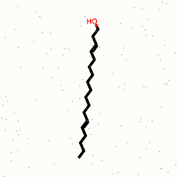 CCCCC=CCCCCCCCC/C=C/CCO